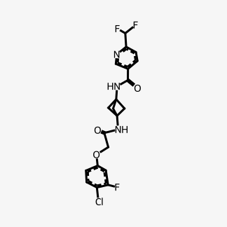 O=C(COc1ccc(Cl)c(F)c1)NC12CC(NC(=O)c3ccc(C(F)F)nc3)(C1)C2